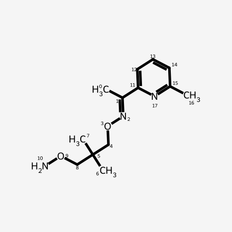 CC(=NOCC(C)(C)CON)c1cccc(C)n1